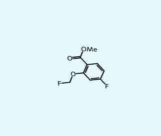 COC(=O)c1ccc(F)cc1OCF